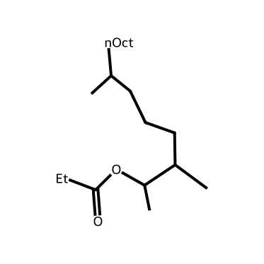 CCCCCCCCC(C)CCCC(C)C(C)OC(=O)CC